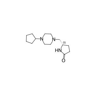 O=C1CC[C@@H](CN2CCN(C3CCCC3)CC2)N1